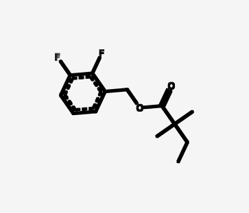 CCC(C)(C)C(=O)OCc1cccc(F)c1F